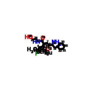 CC(C)(F)CCC(CC(O[Si](C)(C)C(C)(C)C)C(N)Cc1ccccc1)C(=O)NCCO